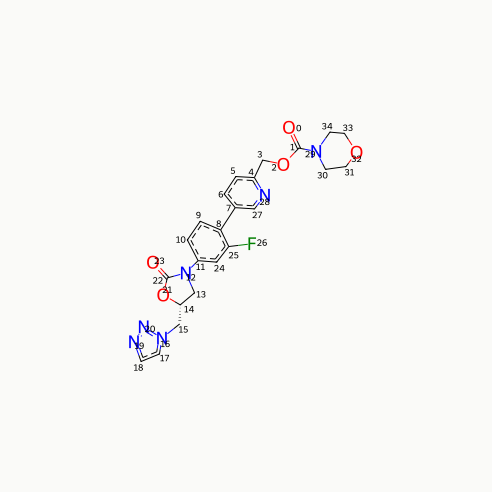 O=C(OCc1ccc(-c2ccc(N3C[C@H](Cn4ccnn4)OC3=O)cc2F)cn1)N1CCOCC1